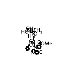 COC(=O)c1cccc(N(CCN(CCCNC(=O)c2cc(B(O)O)nn2C)C(=O)OCc2ccccc2)c2ccnc3ccc(Cl)cc23)c1